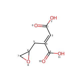 O=C(O)/C=C(\CC1CO1)C(=O)O